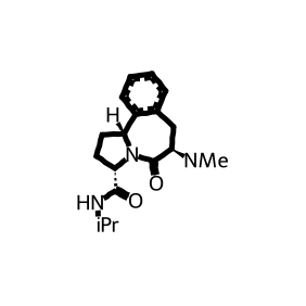 CN[C@@H]1Cc2ccccc2[C@H]2CC[C@@H](C(=O)NC(C)C)N2C1=O